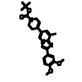 COc1ccc(-c2cn3cc(C4=CCN(C(=O)OC(C)(C)C)CC4)cc(C)c3n2)cc1OC